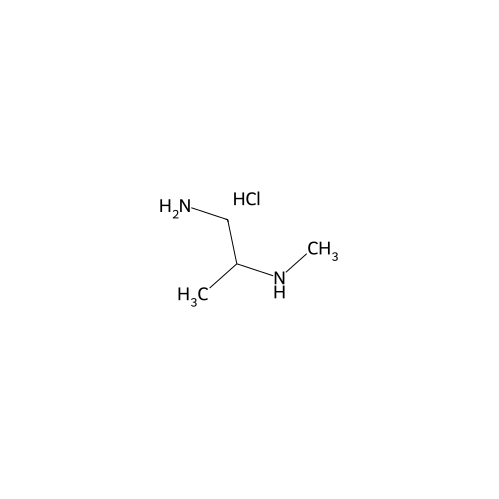 CNC(C)CN.Cl